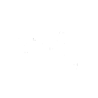 CC(C)(CCN1CCCC1=O)SCCO